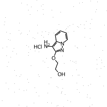 Cl.Nc1c(OCCO)nn2ccccc12